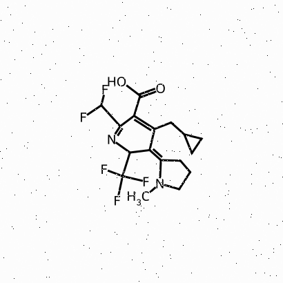 CN1CCCC1=C1C(CC2CC2)=C(C(=O)O)C(C(F)F)=NC1C(F)(F)F